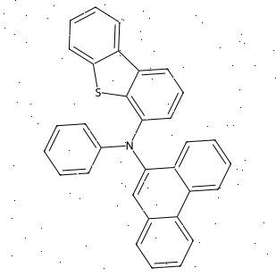 c1ccc(N(c2cc3ccccc3c3ccccc23)c2cccc3c2sc2ccccc23)cc1